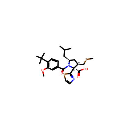 COc1cc(C(=O)N2[C@@H](CC(C)C)C[C@@H](CSC)[C@@]2(C(=O)O)c2nccs2)ccc1C(C)(C)C